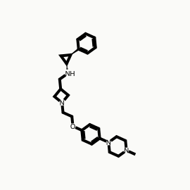 CN1CCN(c2ccc(OCCN3CC(CN[C@@H]4C[C@H]4c4ccccc4)C3)cc2)CC1